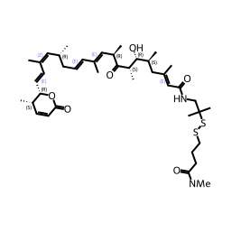 CNC(=O)CCCSSC(C)(C)CNC(=O)/C=C(\C)C[C@H](C)[C@@H](O)[C@H](C)C(=O)[C@H](C)/C=C(C)/C=C/C[C@@H](C)/C=C(C)\C=C\[C@@H]1OC(=O)C=C[C@@H]1C